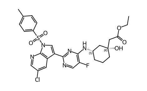 CCOC(=O)C[C@@]1(O)CCC[C@H](Nc2nc(-c3cn(S(=O)(=O)c4ccc(C)cc4)c4ncc(Cl)cc34)ncc2F)C1